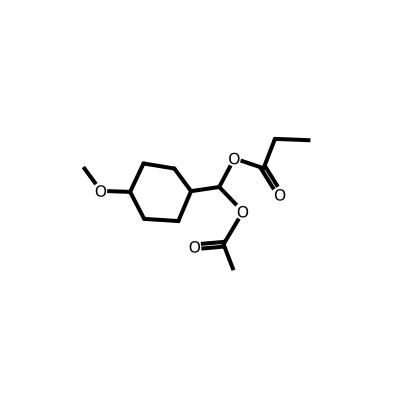 CCC(=O)OC(OC(C)=O)C1CCC(OC)CC1